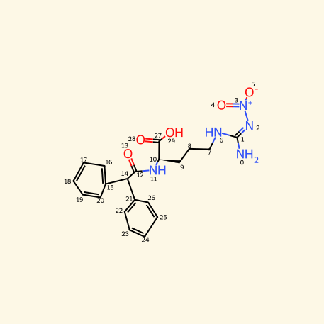 N/C(=N/[N+](=O)[O-])NCCC[C@@H](NC(=O)C(c1ccccc1)c1ccccc1)C(=O)O